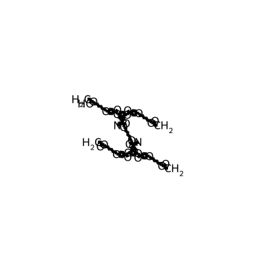 C=CC(=O)OCCCCCCOc1ccc(C(=O)Oc2ccc(OC(=O)c3ccc(OCCCCCCOC(=O)C=C)cc3)c3c2SC(=C(C#N)C(=O)OCCCCCCOC(=O)/C(C#N)=C2\Sc4c(OC(=O)c5ccc(OCCCCCCOC(=O)C=C)cc5)ccc(OC(=O)c5ccc(OCCCCCCOC(O)C=C)cc5)c4S2)S3)cc1